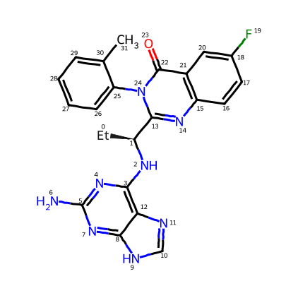 CC[C@H](Nc1nc(N)nc2[nH]cnc12)c1nc2ccc(F)cc2c(=O)n1-c1ccccc1C